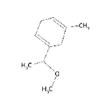 COC(C)C1=CCC=C(C)C1